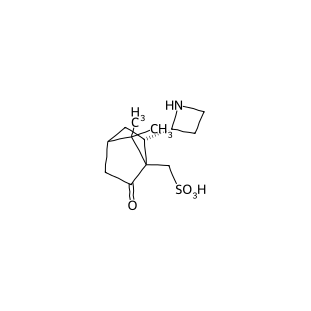 CC1(C)C2CC(=O)C1(CS(=O)(=O)O)C([C@H]1CCN1)C2